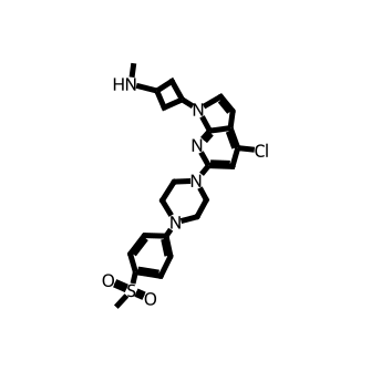 CNC1CC(n2ccc3c(Cl)cc(N4CCN(c5ccc(S(C)(=O)=O)cc5)CC4)nc32)C1